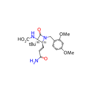 COc1ccc(CN2C(=O)[C@@](NC(=O)O)(C(C)(C)C)[C@@H]2C=CC(N)=O)c(OC)c1